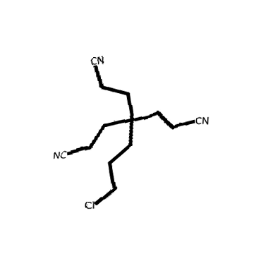 N#CCCC(CCC#N)(CCC#N)CCCCl